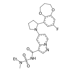 CCN(C)S(=O)(=O)NC(=O)c1cnn2ccc(N3CCCC3c3cc(F)cc4c3OCCCO4)cc12